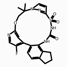 CC1(C)COc2cc(c(F)cn2)-c2ccc3c(c2NC(=O)NS(=O)(=O)c2ccn1n2)CCC3